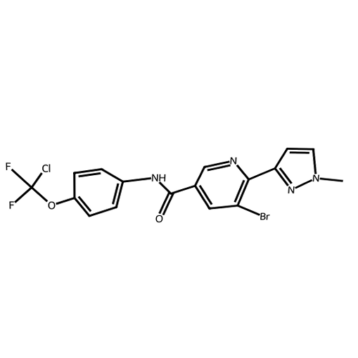 Cn1ccc(-c2ncc(C(=O)Nc3ccc(OC(F)(F)Cl)cc3)cc2Br)n1